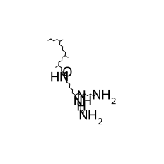 CCCCC(C)CCCCC(C)CCCC(C)CCC(=O)NCCCCCCC(CNCCCCN)CNCCCCN